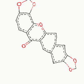 O=c1c2cc3cc4c(cc3cc2oc2c3c(ccc12)OCO3)OCO4